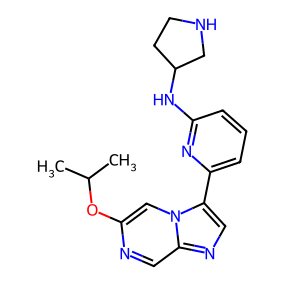 CC(C)Oc1cn2c(-c3cccc(NC4CCNC4)n3)cnc2cn1